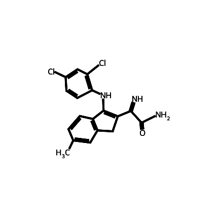 Cc1ccc2c(c1)CC(C(=N)C(N)=O)=C2Nc1ccc(Cl)cc1Cl